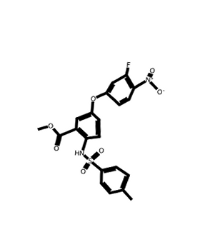 COC(=O)c1cc(Oc2ccc([N+](=O)[O-])c(F)c2)ccc1NS(=O)(=O)c1ccc(C)cc1